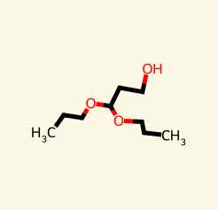 CCCOC(CCO)OCCC